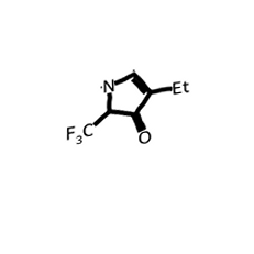 CCC1=[C][N]C(C(F)(F)F)C1=O